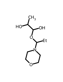 CCC(OC(O)C(C)O)N1CCOCC1